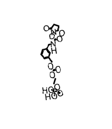 O=C(NCc1cccc(COC(=O)OCCOP(=O)(O)O)c1)ON1C(=O)CCC1=O